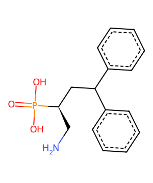 NC[C@H](CC(c1ccccc1)c1ccccc1)P(=O)(O)O